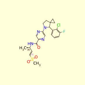 C[C@H](/C=C/S(C)(=O)=O)NC(=O)c1cnc(N2CCC3(CC3)C2c2cccc(F)c2Cl)cn1